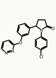 O=C1CCC(c2cccc(Oc3cccnn3)c2)N1c1ccc(Cl)cc1